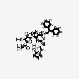 CCNC(=O)[C@H]1O[C@@H](n2cnc3c(NCC(c4ccccc4)c4ccccc4)nc(NCCn4nnnc4N)nc32)[C@H](O)[C@@H]1O